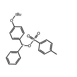 Cc1ccc(S(=O)(=O)O[I+](c2ccccc2)c2ccc(OC(C)(C)C)cc2)cc1